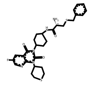 N[C@H](CSCc1ccccc1)C(=O)NC1CCC(n2c(=O)c3cc(F)cnc3n(C3CCSCC3)c2=O)CC1